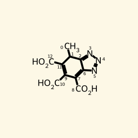 CC1C2=NN=NC2=C(C(=O)O)C(C(=O)O)=C1C(=O)O